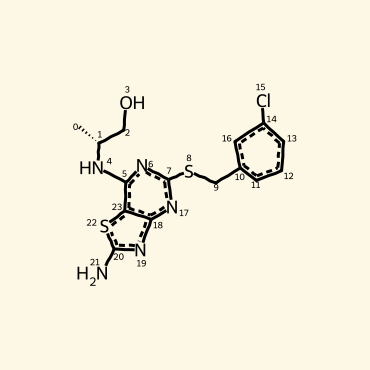 C[C@H](CO)Nc1nc(SCc2cccc(Cl)c2)nc2nc(N)sc12